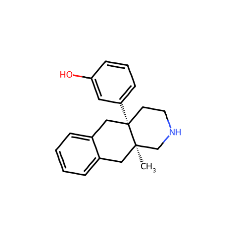 C[C@@]12CNCC[C@]1(c1cccc(O)c1)Cc1ccccc1C2